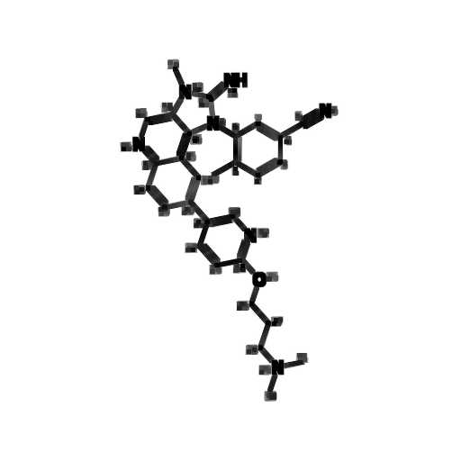 Cc1ccc(C#N)cc1-n1c(=N)n(C)c2cnc3ccc(-c4ccc(OCCCN(C)C)nc4)cc3c21